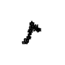 Cn1c(C(=O)Nc2ccccc2COc2ccc(OCC3CCN(C(=O)OC(C)(C)C)C3)cc2)cc2ccsc21